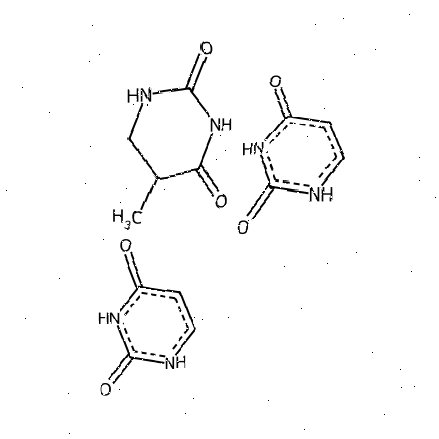 CC1CNC(=O)NC1=O.O=c1cc[nH]c(=O)[nH]1.O=c1cc[nH]c(=O)[nH]1